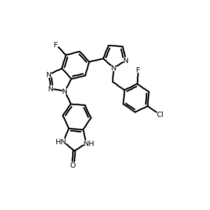 O=c1[nH]c2ccc(-n3nnc4c(F)cc(-c5ccnn5Cc5ccc(Cl)cc5F)cc43)cc2[nH]1